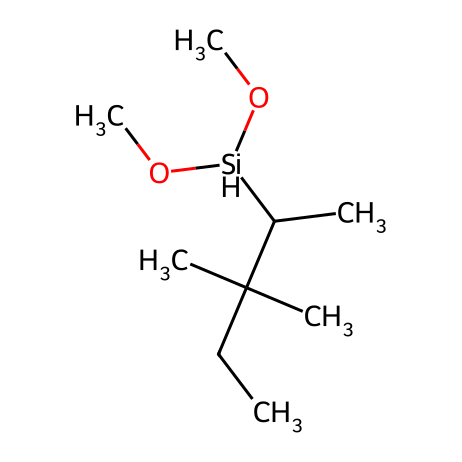 CCC(C)(C)C(C)[SiH](OC)OC